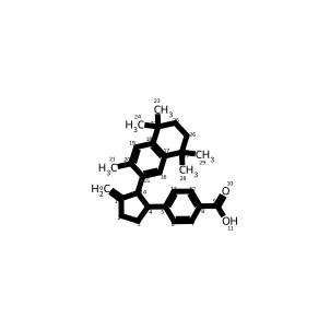 C=C1CCC(c2ccc(C(=O)O)cc2)C1c1cc2c(cc1C)C(C)(C)CCC2(C)C